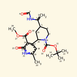 C=C(NC=O)C1CCN(C(=O)OC(C)(C)C)C(c2cc(C)[nH]c(=O)c2C(=O)OC)C1